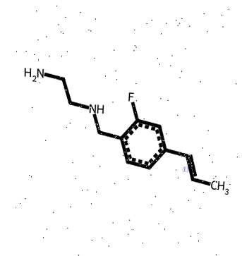 C/C=C/c1ccc(CNCCN)c(F)c1